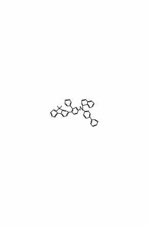 CC1(C)c2ccccc2-c2ccc(-c3ccc(N(c4ccc(-c5ccccc5)cc4)c4cccc5ccccc45)cc3-c3ccccc3)cc21